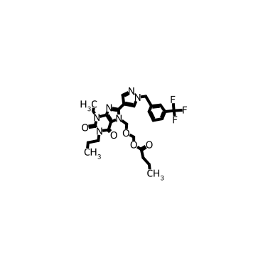 CCCC(=O)OCOCn1c(-c2cnn(Cc3cccc(C(F)(F)F)c3)c2)nc2c1c(=O)n(CCC)c(=O)n2CC